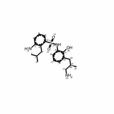 CC(C)Cc1c(N)cccc1S(=O)(=O)Nc1cccc(C[C@@H](C)CN)c1O